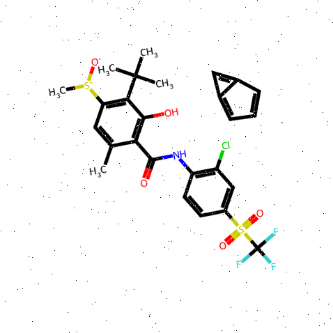 Cc1cc([S+](C)[O-])c(C(C)(C)C)c(O)c1C(=O)Nc1ccc(S(=O)(=O)C(F)(F)F)cc1Cl.c1cc2cc-2c1